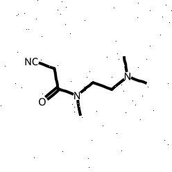 CN(C)CCN(C)C(=O)CC#N